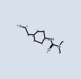 CN(C)C(=O)NC1CCC(CCF)CC1